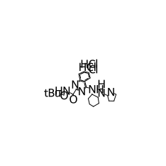 CC(C)(C)ONC(=O)c1nc(N[C@H]2CCCC[C@H]2NC2=NCCC2)c2cc(Cl)ccc2n1.Cl.Cl